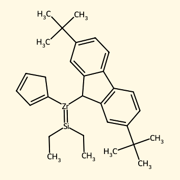 CC[Si](CC)=[Zr]([C]1=CC=CC1)[CH]1c2cc(C(C)(C)C)ccc2-c2ccc(C(C)(C)C)cc21